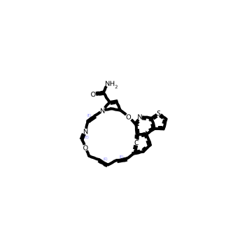 NC(=O)C1=CC2CN1/C=C/N=C/OC/C=C/C=C/c1ccc3c(c1)c(nc1sccc13)O2